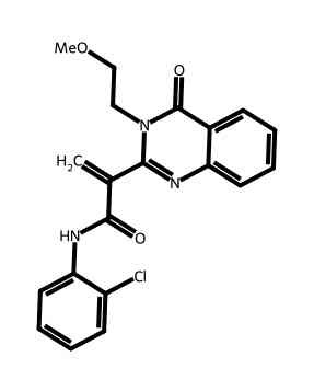 C=C(C(=O)Nc1ccccc1Cl)c1nc2ccccc2c(=O)n1CCOC